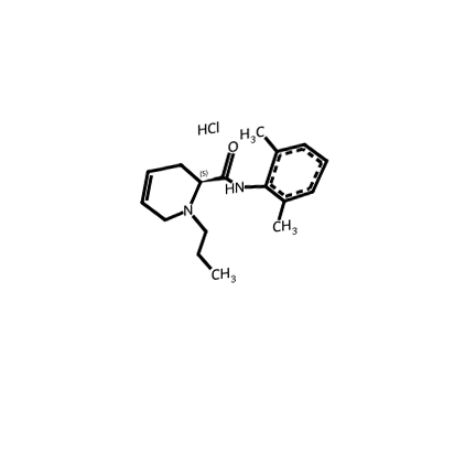 CCCN1CC=CC[C@H]1C(=O)Nc1c(C)cccc1C.Cl